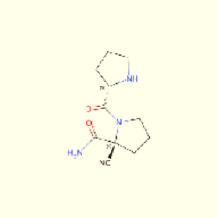 N#C[C@]1(C(N)=O)CCCN1C(=O)[C@@H]1CCCN1